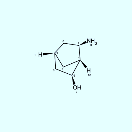 N[C@@H]1C[C@@H]2C[C@H]1[C@@H](O)C2